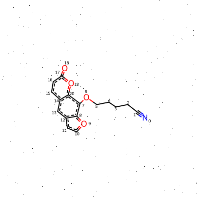 N#CCCCCOc1c2occc2cc2ccc(=O)oc12